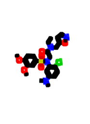 CCN(Cc1ccno1)C(=O)CN(c1cc(N(C)C)ccc1Cl)S(=O)(=O)c1ccc(OC)c(OC)c1